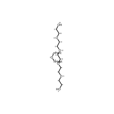 CCCCCCCOCCCCC.OCCOCCOCCOCCOCCO